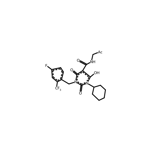 CC(=O)CNC(=O)c1c(O)n(C2CCCCC2)c(=O)n(Cc2ccc(F)cc2C(F)(F)F)c1=O